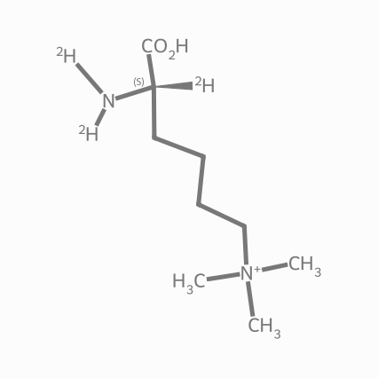 [2H]N([2H])[C@@]([2H])(CCCC[N+](C)(C)C)C(=O)O